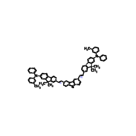 Cc1cccc(N(c2ccccc2)c2ccc3c(c2)C(C)(C)c2cc(/C=C/c4ccc5sc6ccc(/C=C/c7ccc8c(c7)C(C)(C)c7cc(N(c9ccccc9)c9cccc(C)c9)ccc7-8)cc6c5c4)ccc2-3)c1